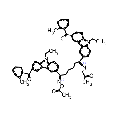 CCn1c2ccc(C(=O)c3ccccc3C)cc2c2cc(/C(CCCC/C(=N\OC(C)=O)c3ccc4c(c3)c3cc(C(=O)c5ccccc5C)ccc3n4CC)=N/CC(C)=O)ccc21